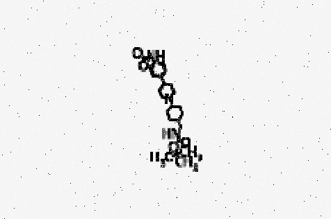 CC(C)(C)OC(=O)NC[C@H]1CC[C@H](N2CCC(c3ccc4[nH]c(=O)oc4c3)CC2)CC1